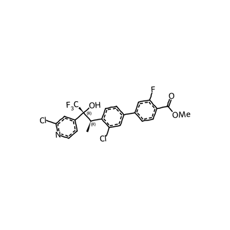 COC(=O)c1ccc(-c2ccc([C@@H](C)[C@@](O)(c3ccnc(Cl)c3)C(F)(F)F)c(Cl)c2)cc1F